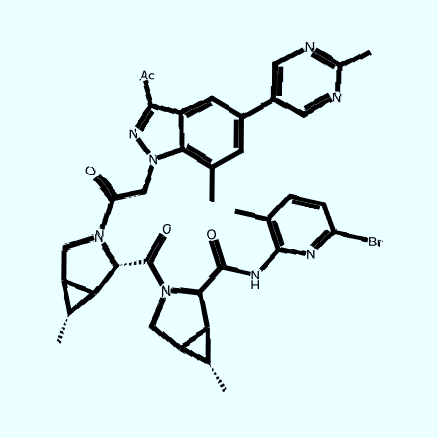 CC(=O)c1nn(CC(=O)N2CC3C([C@@H]3C)[C@H]2C(=O)N2CC3C(C2C(=O)Nc2nc(Br)ccc2C)[C@@H]3C)c2c(C)cc(-c3cnc(C)nc3)cc12